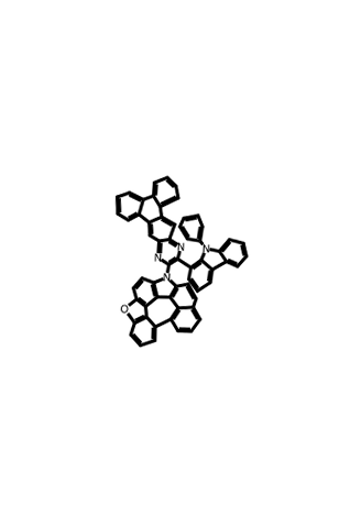 c1ccc(-n2c3ccccc3c3cccc(-c4nc5cc6c7ccccc7c7ccccc7c6cc5nc4-n4c5ccc6cccc7c6c5c5c6c(ccc54)oc4cccc-7c46)c32)cc1